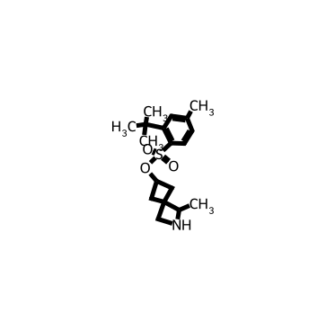 Cc1ccc(S(=O)(=O)OC2CC3(CNC3C)C2)c(C(C)(C)C)c1